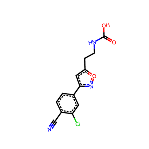 N#Cc1ccc(-c2cc(CCNC(=O)O)on2)cc1Cl